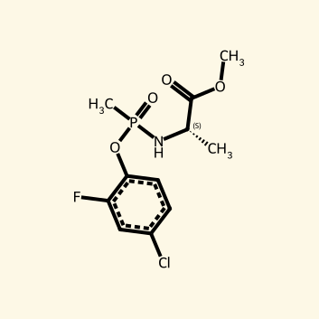 COC(=O)[C@H](C)NP(C)(=O)Oc1ccc(Cl)cc1F